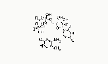 Cc1c[nH]c(=O)nc1N.O=c1ccn([C@@H]2O[C@H](COP(=O)(O)OP(=O)(O)OP(=O)(O)O)[C@@H](O)[C@]2(O)F)c(=O)[nH]1